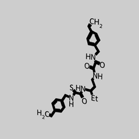 C=Cc1ccc(CNC(=O)C(=O)NCCC(CC)NC(=O)C(=S)NCc2ccc(C=C)cc2)cc1